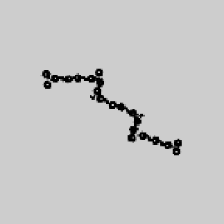 CCn1c2ccc(/C=C/c3ccc(-c4ccc(/C=C/c5ccc6c(c5)c5cc(-c7ccc8c9ccccc9n(-c9ccc(/C=C/c%10ccc(/C=C/c%11ccc(-n%12c%13ccccc%13c%13ccccc%13%12)cc%11)cc%10)cc9)c8c7)ccc5n6CC)cc4)cc3)cc2c2cc(-c3cccc(N(c4ccccc4)c4ccc(/C=C/c5ccc(-c6ccc(/C=C/c7ccc(N(c8ccccc8)c8ccccc8)cc7)cc6)cc5)cc4)c3)ccc21